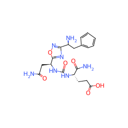 NC(=O)C[C@H](NC(=O)N[C@@H](CCC(=O)O)C(N)=O)c1nc([C@@H](N)Cc2ccccc2)no1